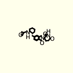 O=C1CCC(N2Cc3cc(C[C@H]4CCCC[C@@H]4NCC4COC4)ccc3C2=O)C(=O)N1